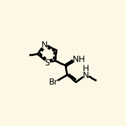 CN/C=C(/Br)C(=N)c1cnc(C)s1